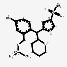 C[SiH](C)OCc1cc(C(C)(C)C)ccc1C(c1cc(S(N)(=O)=O)cs1)C1CCCCO1